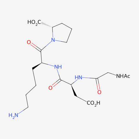 CC(=O)NCC(=O)N[C@@H](CC(=O)O)C(=O)N[C@@H](CCCCN)C(=O)N1CCC[C@H]1C(=O)O